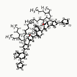 CCCCC(CC)C[Si]1(CC(CC)CCCC)c2cc(-c3cccs3)sc2-c2sc(-c3cnc(-c4cc5c(s4)-c4sc(-c6ncc(-c7cccs7)c7nsnc67)cc4[Si]5(CC(CC)CCCC)CC(CC)CCCC)c4nsnc34)cc21